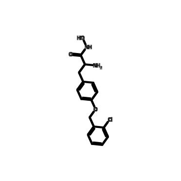 NC(Cc1ccc(OCc2ccccc2Cl)cc1)C(=O)NO